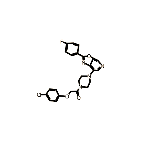 O=C(COc1ccc(Cl)cc1)N1CCN(c2cncc3oc(-c4ccc(F)cc4)nc23)CC1